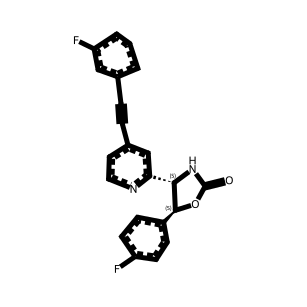 O=C1N[C@@H](c2cc(C#Cc3cccc(F)c3)ccn2)[C@H](c2ccc(F)cc2)O1